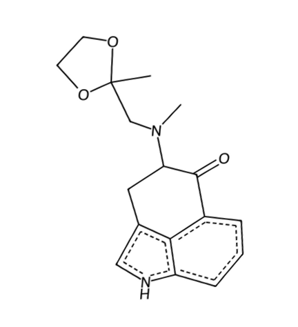 CN(CC1(C)OCCO1)C1Cc2c[nH]c3cccc(c23)C1=O